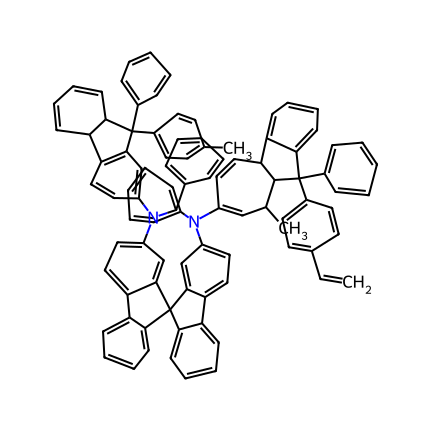 C=Cc1ccc(C2(c3ccccc3)c3ccccc3C3C=CC(N(c4ccccc4)c4ccc5c(c4)C4(c6ccccc6-c6ccc(N(Cc7ccccc7)c7ccc8c(c7)C(c7ccccc7)(c7ccc(C)cc7)C7C=CC=CC87)cc64)c4ccccc4-5)=CC(C)C32)cc1